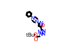 CC(C)(C)OC(=O)Cn1nnc(-c2cc(N3CCN(c4ccccc4)CC3)no2)n1